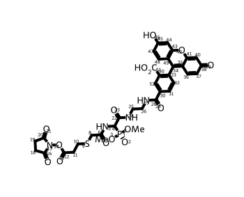 COP(=O)(OC)C(NC(=O)CSCCC(=O)ON1C(=O)CCC1=O)C(=O)NCCNC(=O)c1ccc(-c2c3ccc(=O)cc-3oc3cc(O)ccc23)c(C(=O)O)c1